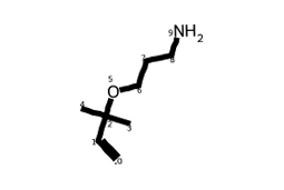 [CH]=CC(C)(C)OCCCN